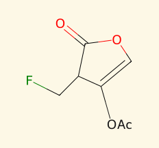 CC(=O)OC1=COC(=O)C1CF